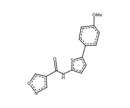 COc1ccc(-c2ccc(NC(=O)c3cnoc3)s2)cc1